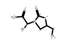 CC[C@@H](C(N)=O)N1CC(CC(F)(F)F)SC1=O